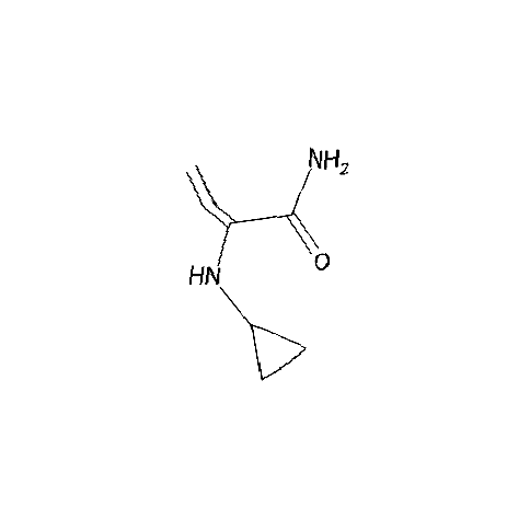 C=C(NC1CC1)C(N)=O